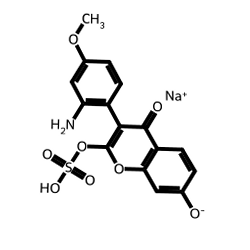 COc1ccc(-c2c(OS(=O)(=O)O)oc3cc([O-])ccc3c2=O)c(N)c1.[Na+]